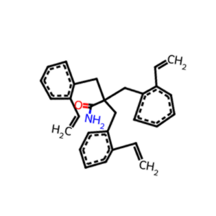 C=Cc1ccccc1CC(Cc1ccccc1C=C)(Cc1ccccc1C=C)C(N)=O